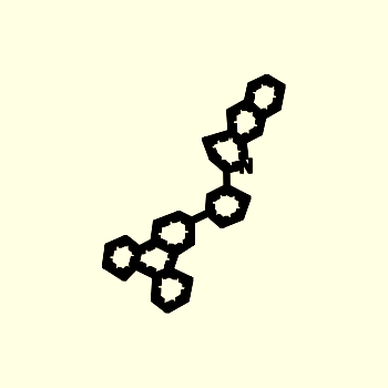 c1cc(-c2ccc3c4ccccc4c4ccccc4c3c2)cc(-c2ccc3cc4ccccc4cc3n2)c1